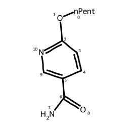 CCCCCOc1ccc(C(N)=O)cn1